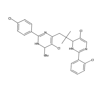 CC(C)(C)C1NC(c2ccc(Cl)cc2)=NC(CC(C)(C)C2NC(c3ccccc3Cl)=NC=C2Cl)=C1Cl